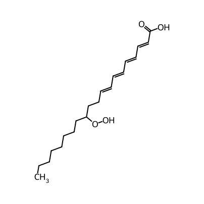 CCCCCCCCC(CCC=CC=CC=CC=CC(=O)O)OO